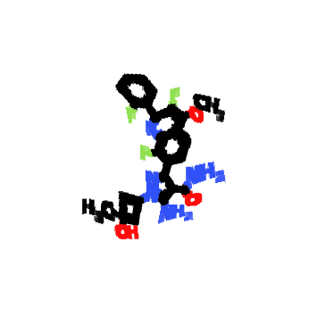 COc1c(F)c(-c2ccccc2F)nc2c(F)c(-c3nn([C@H]4C[C@@](C)(O)C4)c(N)c3C(N)=O)ccc12